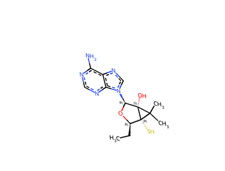 CC[C@H]1O[C@@H](n2cnc3c(N)ncnc32)[C@@]2(O)C(C)(C)[C@@]12S